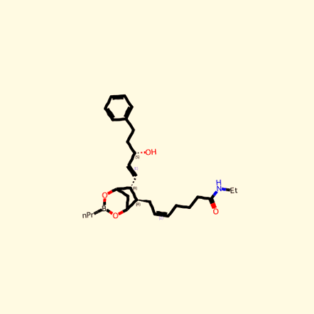 CCCB1OC2CC(O1)[C@H](C/C=C\CCCC(=O)NCC)[C@H]2/C=C/[C@@H](O)CCc1ccccc1